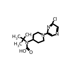 CC(C)(C)N(C(=O)O)C1CCN(c2cncc(Cl)n2)CC1